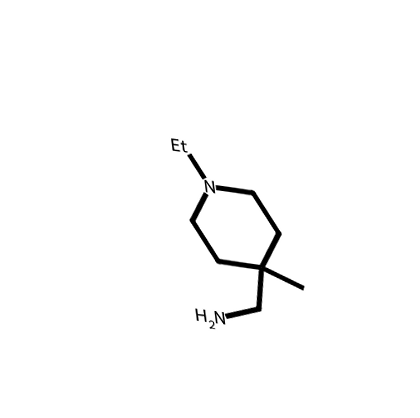 CCN1CCC(C)(CN)CC1